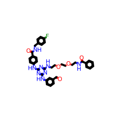 O=Cc1cccc(Nc2nc(NCCOCCOCCNC(=O)c3ccccc3)nc(Nc3ccc(C(=O)NCc4ccc(F)cc4)cc3)n2)c1